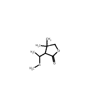 CSC(C)C1C(=O)OCC1(C)C